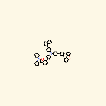 c1ccc(-n2c3ccccc3c3c4cccc(-c5ccc(N(c6ccc(-c7ccc(-c8cccc9oc%10ccccc%10c89)cc7)cc6)c6ccc(-c7cccc8ccccc78)cc6)cc5)c4oc32)cc1